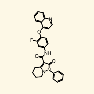 O=C(Nc1ccc(Oc2ccnc3ccccc23)c(F)c1)c1c2n(n(-c3ccccc3)c1=O)CCCC2